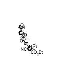 CCOC(=O)c1cc(C#N)c(N2CC(C(=O)NS(=O)(=O)c3ccc(-c4ccon4)s3)C2)nc1C